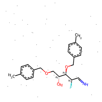 Cc1ccc(COC[C@@H](O)[C@@H](OCc2ccc(C)cc2)[C@H](F)C=N)cc1